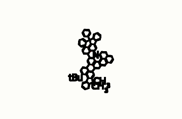 CC(C)(C)c1ccc(-c2cc(-c3ccccc3)c(N(c3ccc4c(c3)-c3ccccc3C4(c3ccccc3)c3ccccc3)c3ccc4ccccc4c3-c3ccc(-c4ccc5c(c4)C(C)(C)c4ccccc4-5)cc3)c(-c3ccccc3)c2)cc1